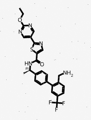 CCOc1ncc(-c2ncc(C(=O)N[C@H](C)c3ccc(-c4cc(C(F)(F)F)ccc4CN)cc3)s2)cn1